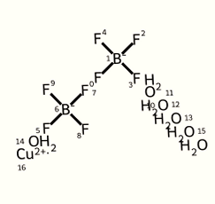 F[B-](F)(F)F.F[B-](F)(F)F.O.O.O.O.O.O.[Cu+2]